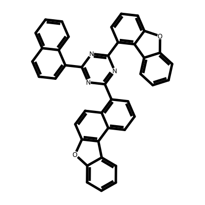 c1ccc2c(-c3nc(-c4cccc5c4ccc4oc6ccccc6c45)nc(-c4cccc5oc6ccccc6c45)n3)cccc2c1